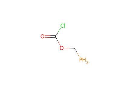 O=C(Cl)OCP